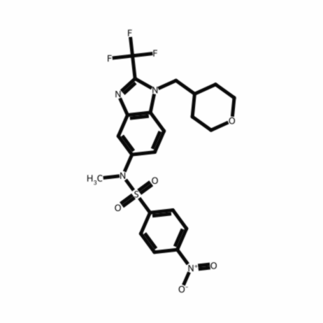 CN(c1ccc2c(c1)nc(C(F)(F)F)n2CC1CCOCC1)S(=O)(=O)c1ccc([N+](=O)[O-])cc1